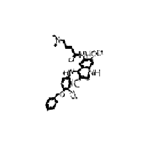 CCOc1cc2c(cc1NC(=O)CCCN(C)C)C(Nc1ccc(OCc3ccccc3)c(Cl)c1)C(C#N)CN2